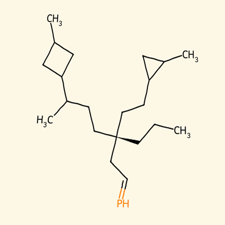 CCC[C@@](CC=P)(CCC(C)C1CC(C)C1)CCC1CC1C